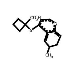 CC1C=c2c(SC3(C(=O)O)CCC3)ccnc2=CC1